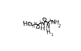 NCC(N)C(=O)NCC(=O)CCO